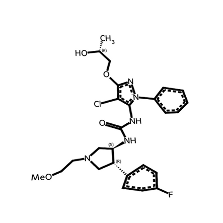 COCCN1C[C@@H](NC(=O)Nc2c(Cl)c(OC[C@@H](C)O)nn2-c2ccccc2)[C@H](c2ccc(F)cc2)C1